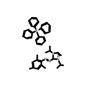 Cc1cc(C)c(/N=N/C2N(C(C)C)C=C[NH+]2C(C)C)c(C)c1.c1ccc([B-](c2ccccc2)(c2ccccc2)c2ccccc2)cc1